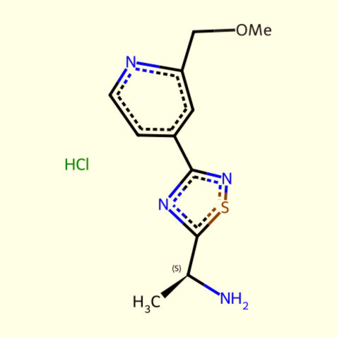 COCc1cc(-c2nsc([C@H](C)N)n2)ccn1.Cl